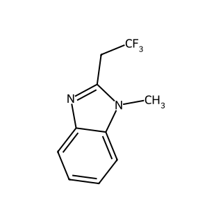 Cn1c(CC(F)(F)F)nc2ccccc21